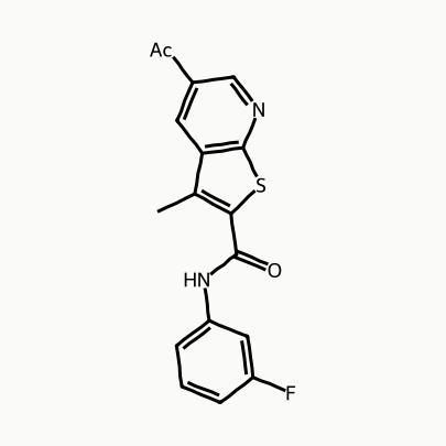 CC(=O)c1cnc2sc(C(=O)Nc3cccc(F)c3)c(C)c2c1